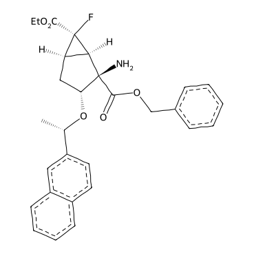 CCOC(=O)[C@@]1(F)[C@@H]2C[C@@H](O[C@@H](C)c3ccc4ccccc4c3)[C@@](N)(C(=O)OCc3ccccc3)[C@@H]21